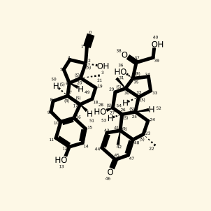 C#C[C@]1(O)CC[C@H]2[C@@H]3CCc4cc(O)ccc4[C@H]3CC[C@@]21C.C[C@H]1C[C@@H]2[C@H]([C@@H](O)C[C@@]3(C)[C@H]2CC[C@]3(O)C(=O)CO)[C@@]2(C)C=CC(=O)C=C12